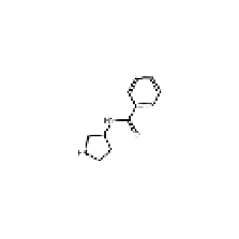 O=C(NC1CCNC1)c1ccccc1